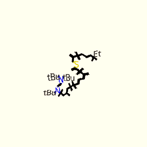 C=C(CSC(=C)C(C)(C)C(=C)CCCC(C)(C)C(C)(C)CC(C)CC(C)(C)N(CCN(C(C)(C)C)C(C)(C)C)C(C)(C)C)C(C)(C)CCCC(C)(C)CC